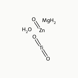 O.[MgH2].[O]=[Ti]=[O].[O]=[Zn]